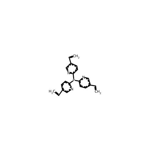 C=Cc1ccc(P(c2ccc(C=C)cn2)c2ccc(C=C)cn2)nc1